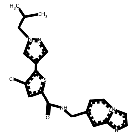 CC(C)Cn1cc(-c2sc(C(=O)NCc3ccn4ccnc4c3)cc2Cl)cn1